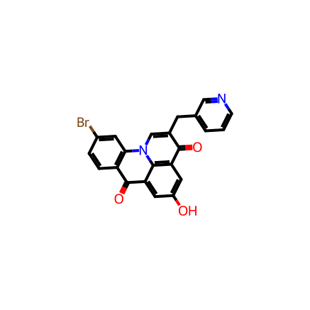 O=c1c(Cc2cccnc2)cn2c3cc(Br)ccc3c(=O)c3cc(O)cc1c32